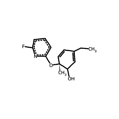 CCC1=CC(O)[C@@](C)(Oc2cccc(F)n2)C=C1